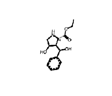 CCOC(=O)[C@H]1NCC(O)C1C(O)c1ccccc1